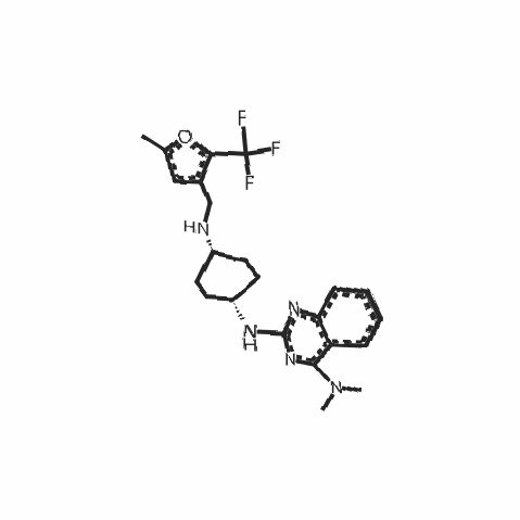 Cc1cc(CN[C@H]2CC[C@@H](Nc3nc(N(C)C)c4ccccc4n3)CC2)c(C(F)(F)F)o1